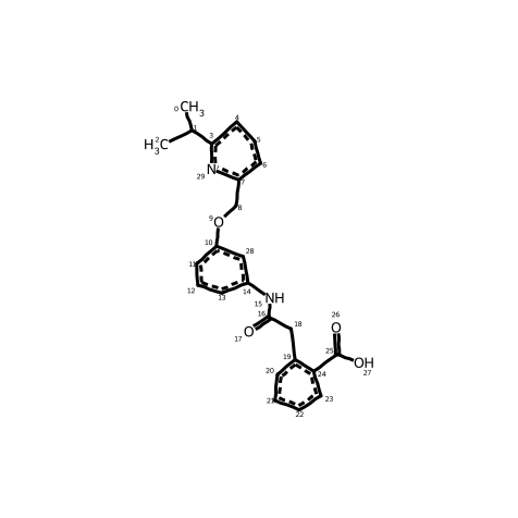 CC(C)c1cccc(COc2cccc(NC(=O)Cc3ccccc3C(=O)O)c2)n1